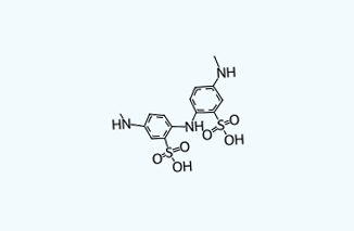 CNc1ccc(Nc2ccc(NC)cc2S(=O)(=O)O)c(S(=O)(=O)O)c1